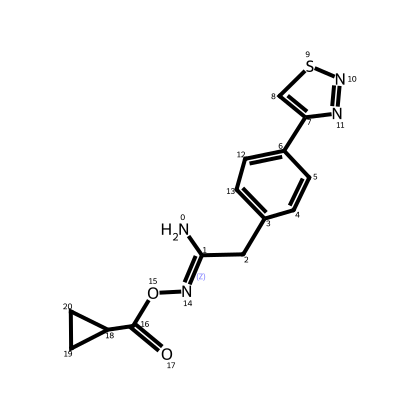 N/C(Cc1ccc(-c2csnn2)cc1)=N\OC(=O)C1CC1